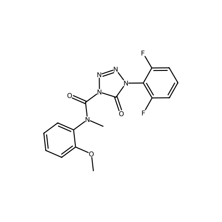 COc1ccccc1N(C)C(=O)n1nnn(-c2c(F)cccc2F)c1=O